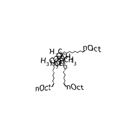 CCCCCCCC/C=C\CCCCCCCC(C)(C)OP(=O)(OC(C)(C)CCCCCCC/C=C\CCCCCCCC)OC(C)(C)CCCCCCC/C=C\CCCCCCCC